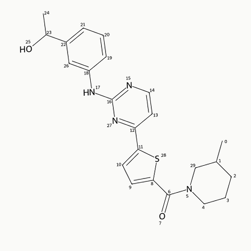 CC1CCCN(C(=O)c2ccc(-c3ccnc(Nc4cccc(C(C)O)c4)n3)s2)C1